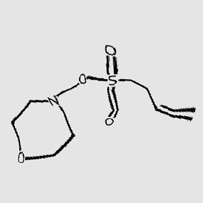 C=CCS(=O)(=O)ON1CCOCC1